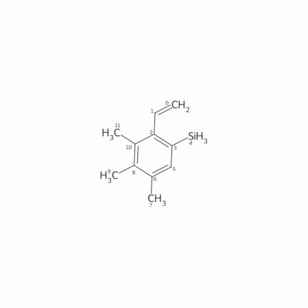 C=Cc1c([SiH3])cc(C)c(C)c1C